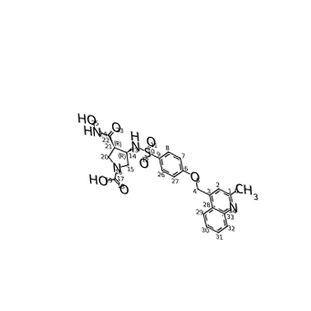 Cc1cc(COc2ccc(S(=O)(=O)N[C@H]3CN(C(=O)O)C[C@H]3C(=O)NO)cc2)c2ccccc2n1